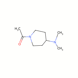 CC(=O)N1CCC(N(C)C)CC1